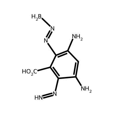 BN=Nc1c(N)cc(N)c(N=N)c1C(=O)O